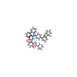 c1ccc(-c2nc3c(ccc4oc5ccc(N(c6ccc(-c7cccc8c7sc7ccccc78)cc6)c6ccccc6-c6ccccc6)cc5c43)o2)cc1